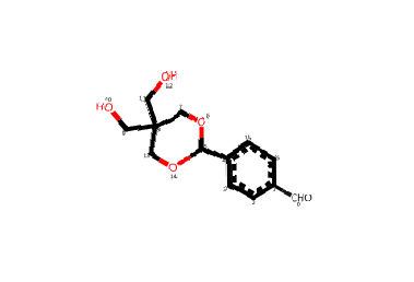 O=Cc1ccc(C2OCC(CO)(CO)CO2)cc1